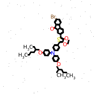 CCCCC(CC)COc1ccc(N(c2ccc(OCC(CC)CCCC)cc2)c2ccc(-c3sc(-c4ccc5c(c4)C(=O)c4cc(Br)ccc4-5)c4c3OCCO4)cc2)cc1